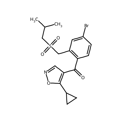 CC(C)CS(=O)(=O)Cc1cc(Br)ccc1C(=O)c1cnoc1C1CC1